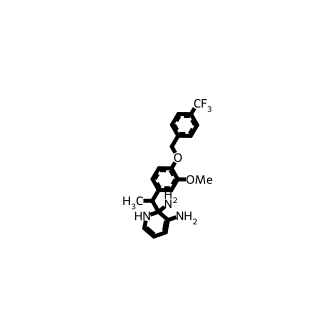 COc1cc(C(C)C2(N)NC=CC=C2N)ccc1OCc1ccc(C(F)(F)F)cc1